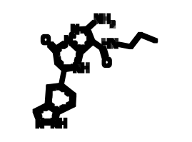 CCCNC(=O)c1c(N)nn2c(=O)cc(-c3ccc4[nH]ncc4c3)[nH]c12